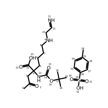 CC(=O)CC(CCCCNCC=N)(NC(=O)OC(C)(C)C)C(=O)O.Cc1ccc(S(=O)(=O)O)cc1